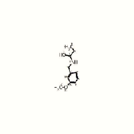 [CH2]CC(O)NCc1cccc(OC)c1